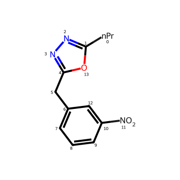 CCCc1nnc(Cc2cccc([N+](=O)[O-])c2)o1